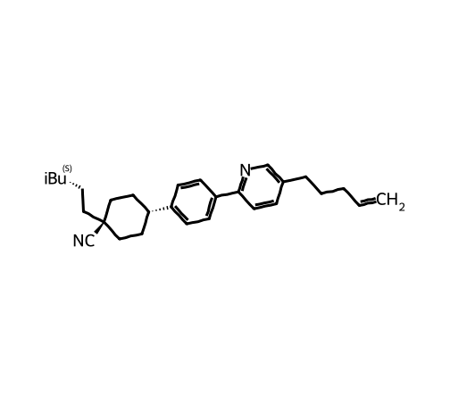 C=CCCCc1ccc(-c2ccc([C@H]3CC[C@@](C#N)(CC[C@@H](C)CC)CC3)cc2)nc1